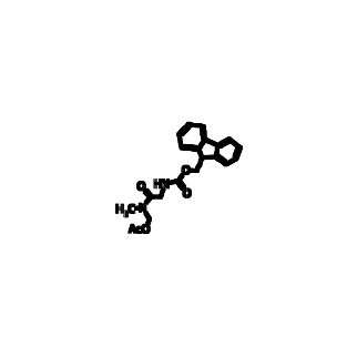 CC(=O)OCN(C)C(=O)CNC(=O)OCC1c2ccccc2-c2ccccc21